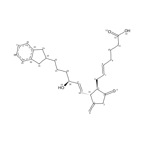 C=C1CC(=O)[C@H](CC=CCCCC(=O)O)[C@H]1C=C[C@@H](O)CCCC1Cc2ccccc2C1